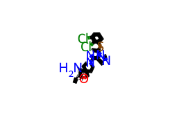 C=C[C@@H]1OCC2(CCN(c3ncc(Sc4cccc(Cl)c4Cl)n4cncc34)CC2)[C@@H]1N